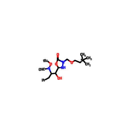 CC(C)CC(C(O)C1NN(COCC[Si](C)(C)C)C(=O)O1)N(C=O)OC(C)(C)C